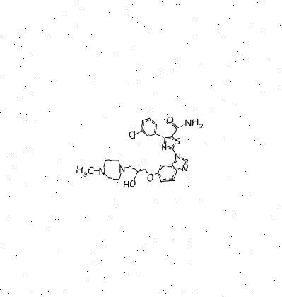 CN1CCN(CC(O)COc2ccc3ncn(-c4nc(-c5cccc(Cl)c5)c(C(N)=O)s4)c3c2)CC1